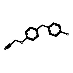 N#CCOc1ccc(Cc2ccc(Cl)cc2)cc1